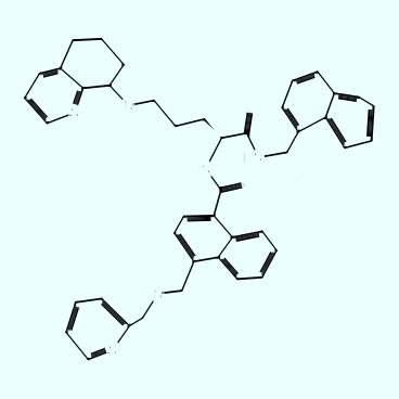 C[C@H](NC(=O)[C@H](CCCNC1CCCc2cccnc21)NC(=O)c1ccc(CNCc2ccccn2)c2ccccc12)c1cccc2ccccc12